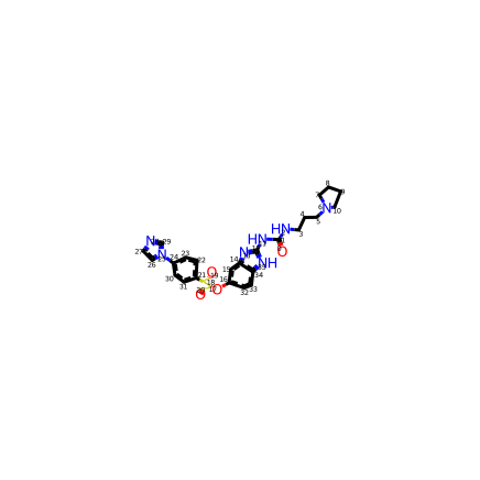 O=C(NCCCN1CCCC1)Nc1nc2cc(OS(=O)(=O)c3ccc(-n4ccnc4)cc3)ccc2[nH]1